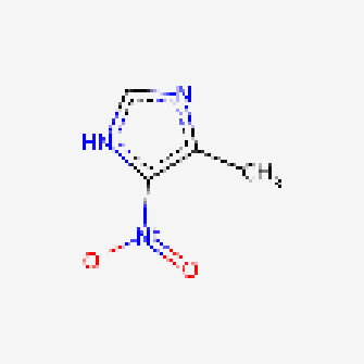 Cc1nc[nH]c1[N+](=O)[O-]